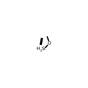 C=C.CO[SiH3]